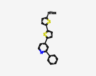 CCCCCCc1ccc(-c2ccc(-c3ccnc(-c4ccccc4)c3)s2)s1